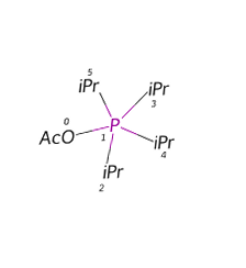 CC(=O)OP(C(C)C)(C(C)C)(C(C)C)C(C)C